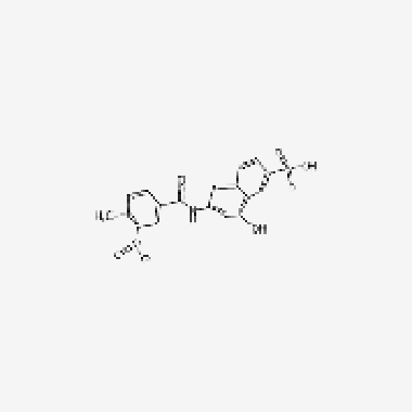 Cc1ccc(C(=O)Nc2cc(O)c3cc(S(=O)(=O)O)ccc3c2)cc1[N+](=O)[O-]